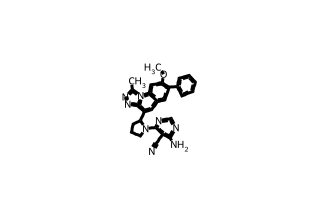 COc1cc2c(cc1-c1ccccc1)cc(C1CCCN1c1ncnc(N)c1C#N)c1nnc(C)n12